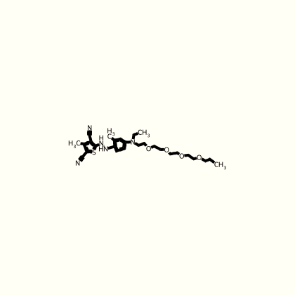 CCCOCCOCCOCCOCCN(CC)c1ccc(NNc2sc(C#N)c(C)c2C#N)c(C)c1